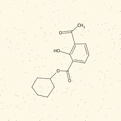 CC(=O)c1cccc(C(=O)OC2CCCCC2)c1O